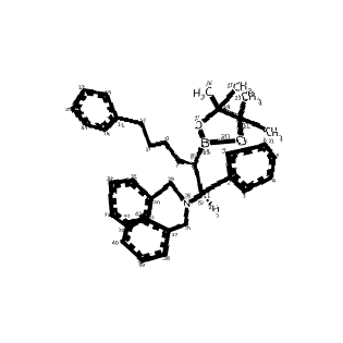 [2H][C@@](c1ccccc1)([C@@H](CCCCc1ccccc1)B1OC(C)(C)C(C)(C)O1)N(Cc1ccccc1)Cc1ccccc1